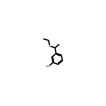 CCOC(C)c1cccc(O)c1